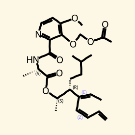 C=C/C=C\C(=C/C)[C@@H](CCC(C)C)[C@H](C)OC(=O)[C@H](C)NC(=O)c1nccc(OC)c1OCOC(C)=O